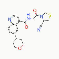 N#CC1CSCN1C(=O)CNC(=O)c1ccnc2ccc(C3CCOCC3)cc12